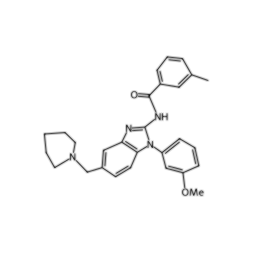 COc1cccc(-n2c(NC(=O)c3cccc(C)c3)nc3cc(CN4CCCCC4)ccc32)c1